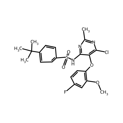 COc1cc(F)ccc1Oc1c(Cl)nc(C)nc1NS(=O)(=O)c1ccc(C(C)(C)C)cc1